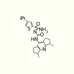 CC(C)c1csc(S(N)(=O)=NC(=O)Nc2c3c(nc4c2CCC4C)C(C)CC3)c1